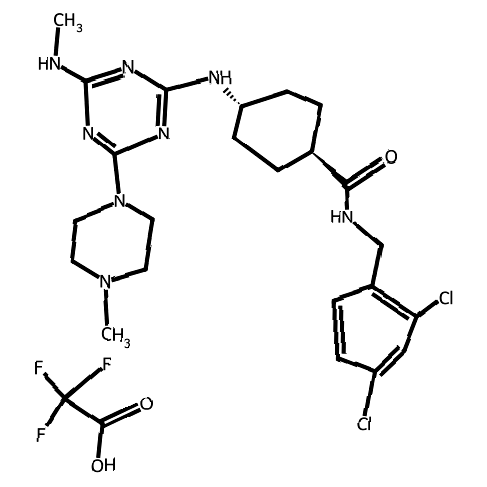 CNc1nc(N[C@H]2CC[C@H](C(=O)NCc3ccc(Cl)cc3Cl)CC2)nc(N2CCN(C)CC2)n1.O=C(O)C(F)(F)F